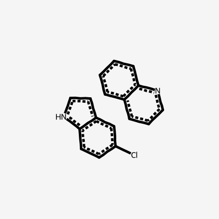 Clc1ccc2[nH]ccc2c1.c1ccc2ncccc2c1